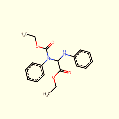 CCOC(=O)C(Nc1ccccc1)N(C(=O)OCC)c1ccccc1